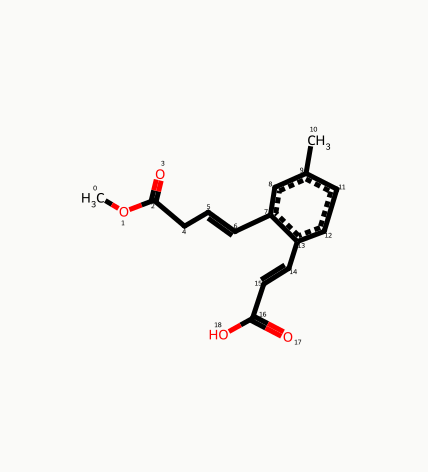 COC(=O)CC=Cc1cc(C)ccc1C=CC(=O)O